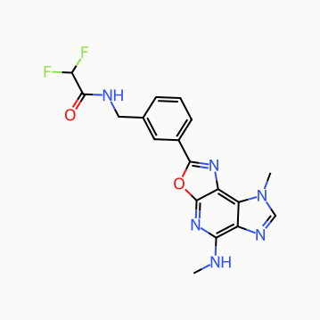 CNc1nc2oc(-c3cccc(CNC(=O)C(F)F)c3)nc2c2c1ncn2C